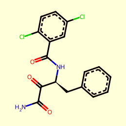 NC(=O)C(=O)[C@H](Cc1ccccc1)NC(=O)c1cc(Cl)ccc1Cl